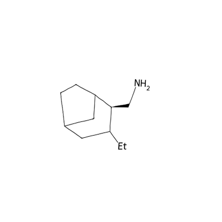 CCC1CC2CCC(C2)[C@H]1CN